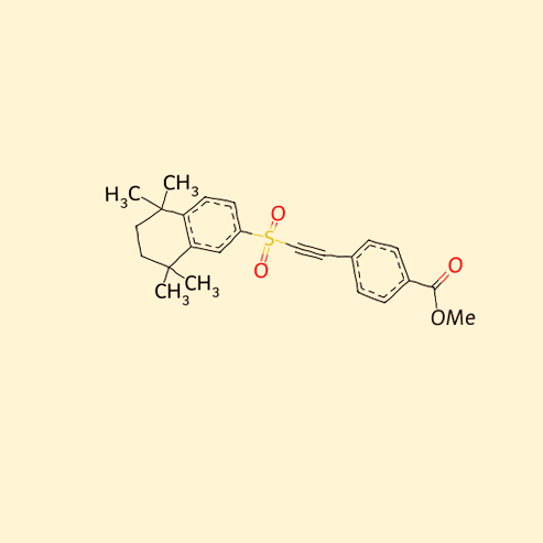 COC(=O)c1ccc(C#CS(=O)(=O)c2ccc3c(c2)C(C)(C)CCC3(C)C)cc1